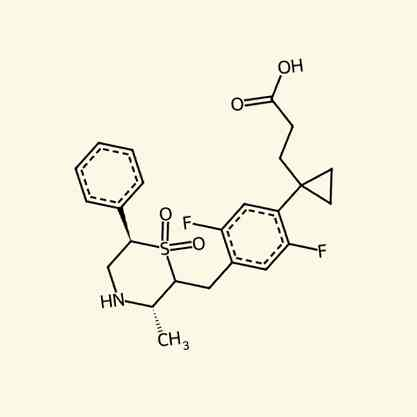 C[C@@H]1NC[C@@H](c2ccccc2)S(=O)(=O)C1Cc1cc(F)c(C2(CCC(=O)O)CC2)cc1F